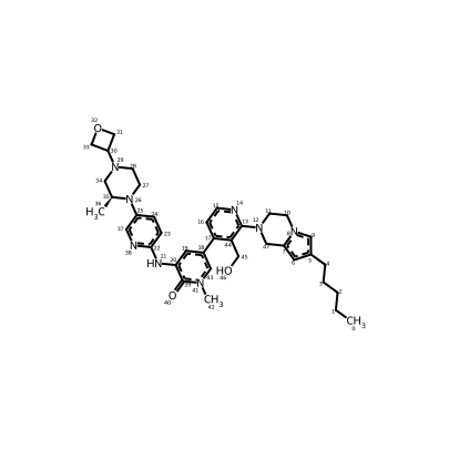 CCCCCc1cc2n(c1)CCN(c1nccc(-c3cc(Nc4ccc(N5CCN(C6COC6)C[C@@H]5C)cn4)c(=O)n(C)c3)c1CO)C2